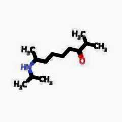 CC(C)NC(C)CCCCC(=O)C(C)C